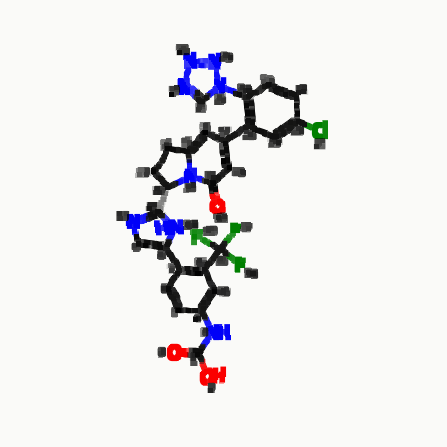 O=C(O)Nc1ccc(-c2cnc([C@@H]3CCc4cc(-c5cc(Cl)ccc5-n5cnnn5)cc(=O)n43)[nH]2)c(C(F)(F)F)c1